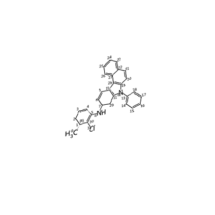 C[C@@H]1CC=CC(NC2C=Cc3c(n(-c4ccccc4)c4ccc5ccccc5c34)C2)=C1Cl